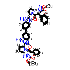 CC(C)(C)OC(=O)NC(C(=O)N1CCC[C@H]1c1nc2ccc(-c3ccc4[nH]c([C@@H]5CCCN5C(=O)[C@H](NC(=O)OC(C)(C)C)c5ccccc5)nc4c3)cc2[nH]1)c1ccccc1